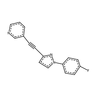 Fc1ccc(-n2ccc(C#Cc3cccnc3)n2)cc1